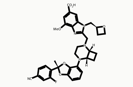 COc1cc(C(=O)O)cc2c1nc(CN1CCN(c3cccc4c3O[C@@](C)(c3ccc(C#N)cc3F)O4)[C@H]3CC[C@H]31)n2C[C@@H]1CCO1